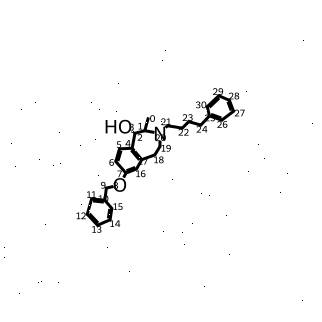 CC1[C@H](O)c2ccc(OCc3ccccc3)cc2CCN1CCCCc1ccccc1